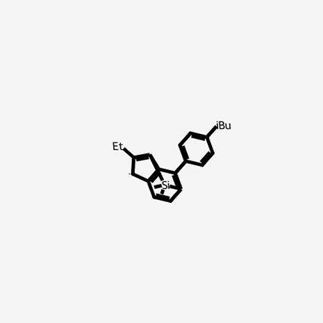 CCC1=C2c3c(ccc(c3-c3ccc(C(C)CC)cc3)[Si]2(C)C)[CH]1